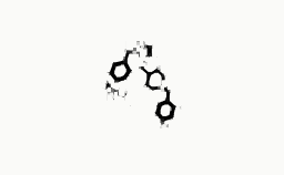 NS(=O)(=O)c1ccc(CN2NC=CN2CC2CCN(Cc3ccc(Cl)cc3)CC2)cc1